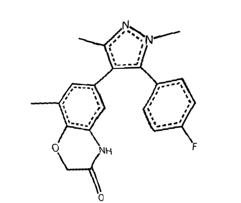 Cc1cc(-c2c(C)nn(C)c2-c2ccc(F)cc2)cc2c1OCC(=O)N2